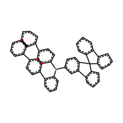 c1ccc(-c2ccc(-c3ccccc3N(c3ccc(-c4ccccc4)cc3)c3ccc4c(c3)-c3ccccc3C43c4ccccc4-c4ccccc43)cc2)cc1